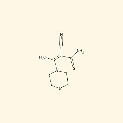 C/C(=C(\C#N)C(N)=S)N1CCSCC1